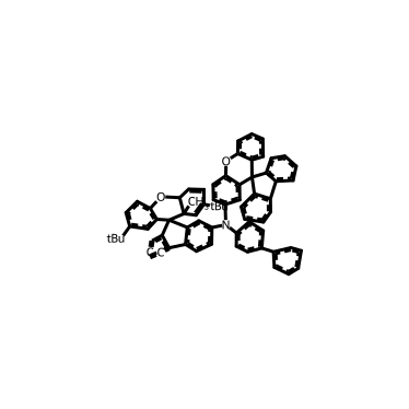 CC(C)(C)C1=CC2(C)C(C=C1)Oc1ccc(C(C)(C)C)cc1C21c2ccccc2-c2ccc(N(c3ccc(-c4ccccc4)cc3)c3ccc4c(c3)C3(c5ccccc5O4)c4ccccc4-c4ccccc43)cc21